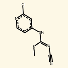 CS/C(=N\C#N)Nc1ccnc(Cl)c1